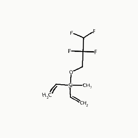 C=C[Si](C)(C=C)OCC(F)(F)C(F)F